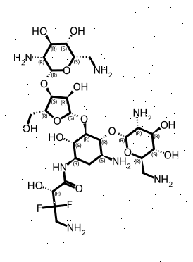 NC[C@@H]1O[C@H](O[C@H]2[C@@H](O)[C@H](O[C@@H]3[C@@H](O)[C@H](NC(=O)[C@@H](O)C(F)(F)CN)C[C@H](N)[C@H]3O[C@H]3O[C@H](CN)[C@@H](O)[C@H](O)[C@H]3N)O[C@@H]2CO)[C@H](N)[C@@H](O)[C@@H]1O